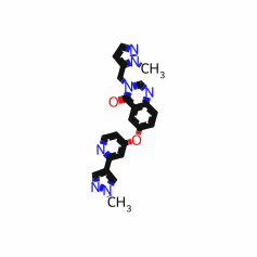 Cn1cc(-c2cc(Oc3ccc4ncn(Cc5ccnn5C)c(=O)c4c3)ccn2)cn1